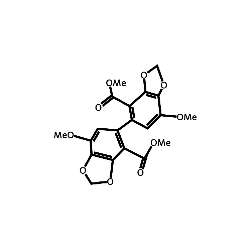 COC(=O)c1c(-c2cc(OC)c3c(c2C(=O)OC)OCO3)cc(OC)c2c1OCO2